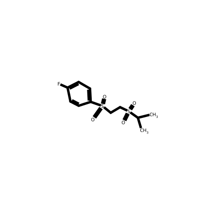 CC(C)S(=O)(=O)CCS(=O)(=O)c1ccc(F)cc1